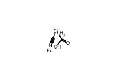 CC#N.CC(=O)O.[Pd]